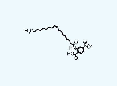 CCCCCCCC/C=C\CCCCCCCC(=O)Nc1cc([N+](=O)[O-])ccc1C(=O)O